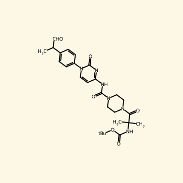 CC(C=O)c1ccc(-n2ccc(NC(=O)N3CCN(C(=O)C(C)(C)NC(=O)OC(C)(C)C)CC3)nc2=O)cc1